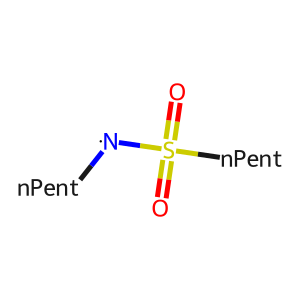 CCCCC[N]S(=O)(=O)CCCCC